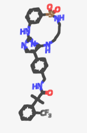 CC(C)(C(=O)NCc1ccc(-c2cnc3nc2NCCCNS(=O)(=O)c2cccc(c2)N3)cc1)c1ccccc1C(F)(F)F